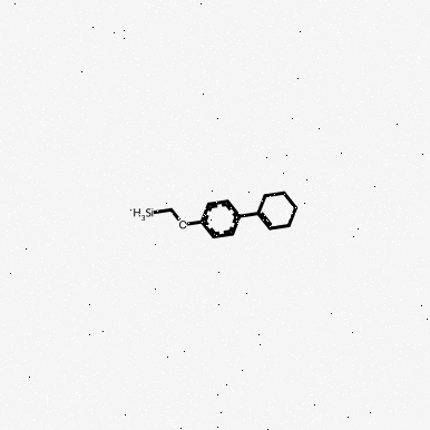 [SiH3]COc1ccc(C2=CCCCC2)cc1